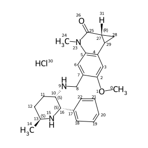 COc1cc2c(cc1CN[C@H]1CC[C@H](C)N[C@H]1c1ccccc1)N(C)C(=O)[C@@H]1CC21.Cl